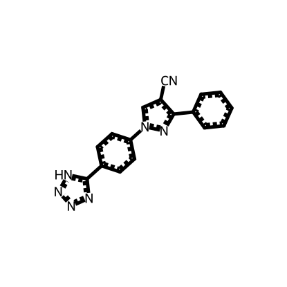 N#Cc1cn(-c2ccc(-c3nnn[nH]3)cc2)nc1-c1ccccc1